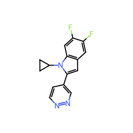 Fc1cc2cc(-c3ccnnc3)n(C3CC3)c2cc1F